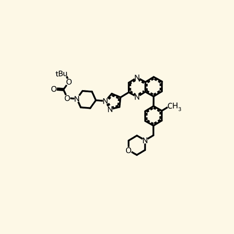 Cc1cc(CN2CCOCC2)ccc1-c1cccc2ncc(-c3cnn(C4CCN(OC(=O)OC(C)(C)C)CC4)c3)nc12